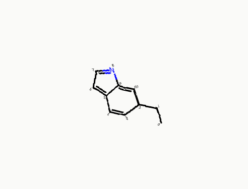 CCC1C=CC2=CC=NC2=C1